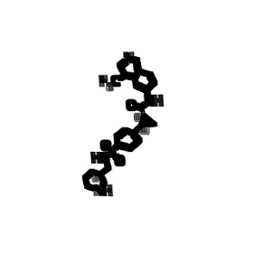 O=C(Nc1ccc2cncc(C(F)(F)F)c2c1)[C@@H]1C[C@H]1c1ccc(S(=O)(=O)NC[C@@H]2CCCNC2)cc1